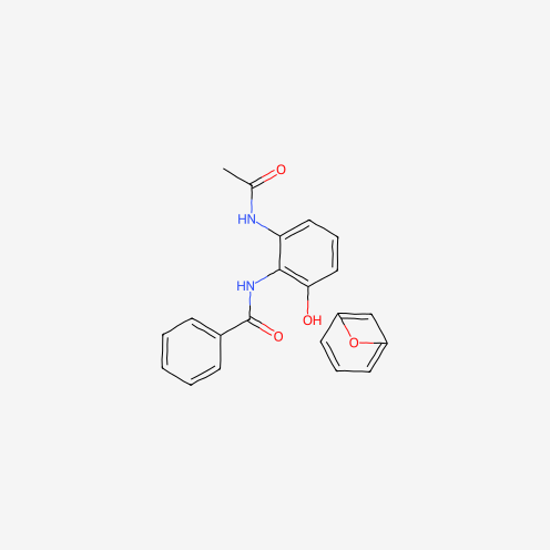 CC(=O)Nc1cccc(O)c1NC(=O)c1ccccc1.c1cc2cc(c1)O2